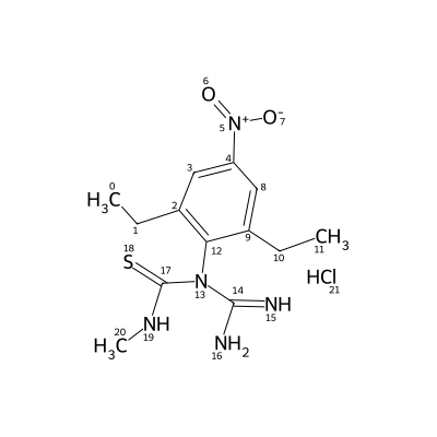 CCc1cc([N+](=O)[O-])cc(CC)c1N(C(=N)N)C(=S)NC.Cl